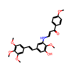 COc1ccc(C(=O)C=CNc2cc(C=Cc3cc(OC)c(OC)c(OC)c3)cc(O)c2OC)cc1